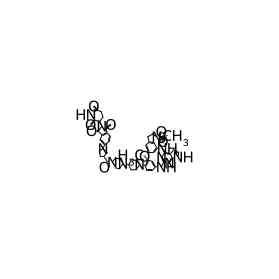 COc1cc(Nc2nc(Nc3cccc4c3N(S(C)(=O)=O)CC4)c3cc[nH]c3n2)ccc1N1CCC(N2CCN(C(=O)C3CCN(c4ccc5c(c4)C(=O)N(C4CCC(=O)NC4=O)C5=O)C3)CC2)CC1